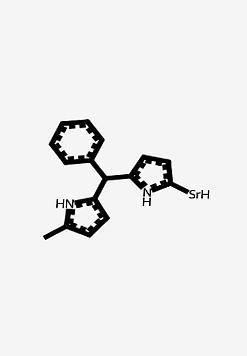 Cc1ccc(C(c2ccccc2)c2cc[c]([SrH])[nH]2)[nH]1